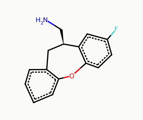 NC[C@@H]1Cc2ccccc2Oc2ccc(F)cc21